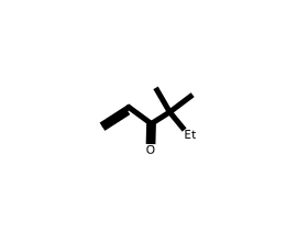 C=CC(=O)C(C)(C)CC